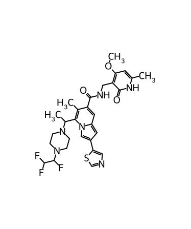 COc1cc(C)[nH]c(=O)c1CNC(=O)c1cc2cc(-c3cncs3)cn2c(C(C)N2CCN(C(F)C(F)F)CC2)c1C